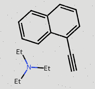 C#Cc1cccc2ccccc12.CCN(CC)CC